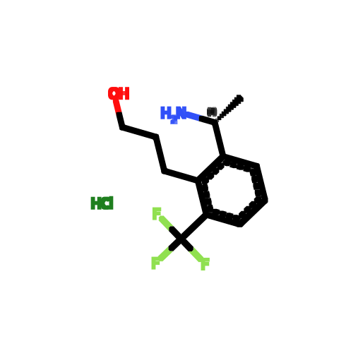 C[C@@H](N)c1cccc(C(F)(F)F)c1CCCO.Cl